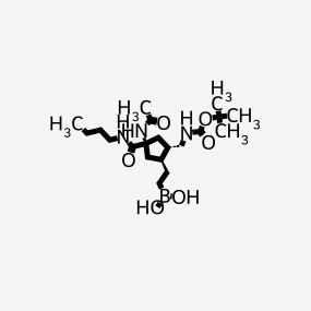 CCCCNC(=O)[C@@]1(NC(C)=O)C[C@H](CCB(O)O)[C@@H](CNC(=O)OC(C)(C)C)C1